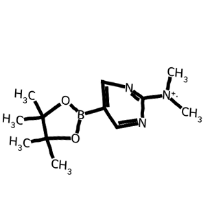 C[N+](C)c1ncc(B2OC(C)(C)C(C)(C)O2)cn1